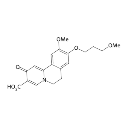 COCCCOc1cc2c(cc1OC)-c1cc(=O)c(C(=O)O)cn1CC2